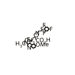 COc1ccc2ncc(N(C)C)c([C@@H](F)CCC3(CC(=O)O)CCN(CCSc4c(F)cc(F)cc4F)CC3)c2c1